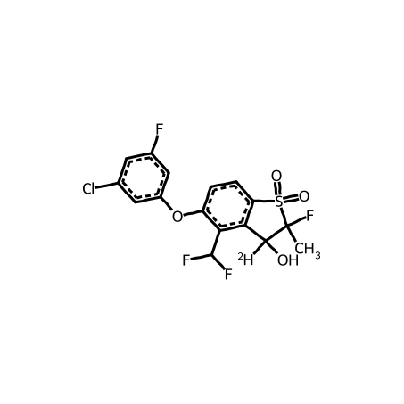 [2H]C1(O)c2c(ccc(Oc3cc(F)cc(Cl)c3)c2C(F)F)S(=O)(=O)C1(C)F